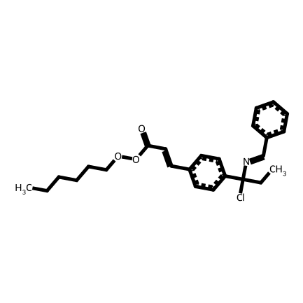 CCCCCCOOC(=O)C=Cc1ccc(C(Cl)(CC)N=Cc2ccccc2)cc1